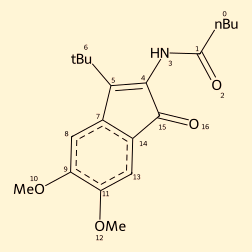 CCCCC(=O)NC1=C(C(C)(C)C)c2cc(OC)c(OC)cc2C1=O